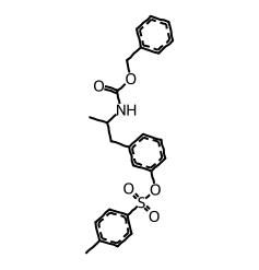 Cc1ccc(S(=O)(=O)Oc2cccc(CC(C)NC(=O)OCc3ccccc3)c2)cc1